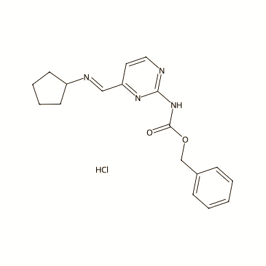 Cl.O=C(Nc1nccc(C=NC2CCCC2)n1)OCc1ccccc1